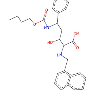 CCCCOC(=O)NC(CC(O)C(NCc1cccc2ccccc12)C(=O)O)c1ccccc1